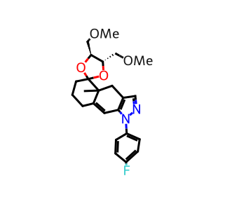 COC[C@@H]1OC2(CCCC3=Cc4c(cnn4-c4ccc(F)cc4)CC32C)O[C@H]1COC